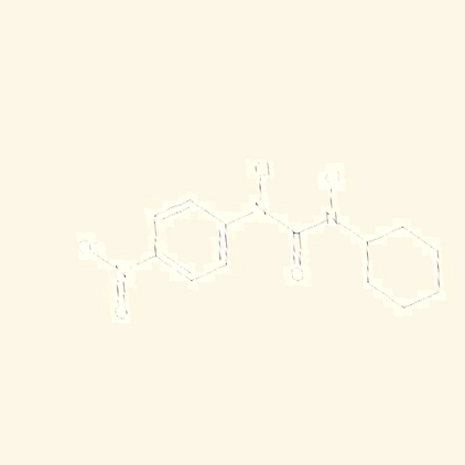 O=C(N(Cl)c1ccc([N+](=O)[O-])cc1)N(Cl)C1CCCCC1